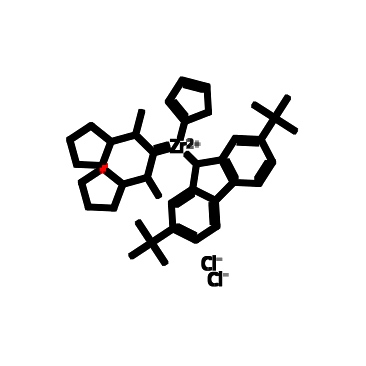 CC([C](C(C)C1CCCC1)=[Zr+2]([C]1=CC=CC1)[CH]1c2cc(C(C)(C)C)ccc2-c2ccc(C(C)(C)C)cc21)C1CCCC1.[Cl-].[Cl-]